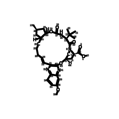 COC(=O)[C@@H]1C[C@@H]2CN1C(=O)[C@H](C(C)(C)C)NC(=O)O[C@@H]1C[C@H](C)C[C@H]1CCC/C=C/c1nc3ccc(OC)cc3nc1O2